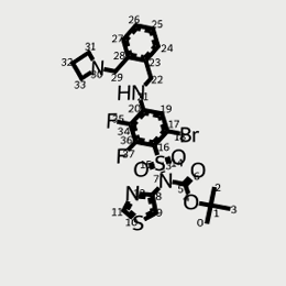 CC(C)(C)OC(=O)N(c1cscn1)S(=O)(=O)c1c(Br)cc(NCc2ccccc2CN2CCC2)c(F)c1F